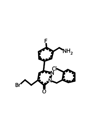 NCc1cc(-c2cc(CCBr)c(=O)n(Cc3ccccc3Cl)n2)ccc1F